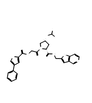 O=C(NCC(=O)N1C[C@H](OC(F)F)C[C@H]1C(=O)NCc1cc2cnccc2[nH]1)c1cc(-c2ccccc2)cs1